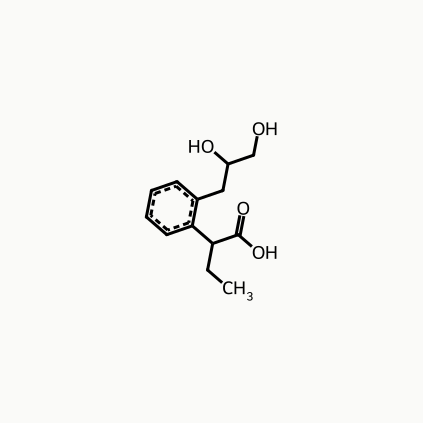 CCC(C(=O)O)c1ccccc1CC(O)CO